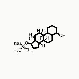 CC(C)(C)[Si](C)(C)OC1CC[C@H]2[C@@H]3CCC4C(O)CCC[C@]4(C)[C@H]3CC[C@]12C